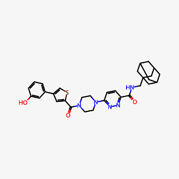 O=C(NCC12CC3CC(CC(C3)C1)C2)c1ccc(N2CCN(C(=O)c3cc(-c4cccc(O)c4)cs3)CC2)nn1